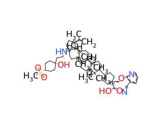 C=C(C)[C@@H]1CC[C@]2(NCC[C@]3(O)CC[C@@H](S(C)(=O)=O)CC3)CC[C@]3(C)[C@H](CC[C@@H]4[C@@]5(C)CC=C(C6=CC[C@@](COc7ncccc7C#N)(C(=O)O)CC6)C(C)(C)[C@@H]5CC[C@]43C)[C@@H]12